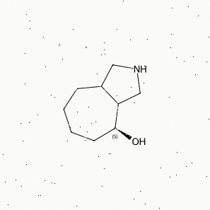 O[C@H]1CCCCC2CNCC21